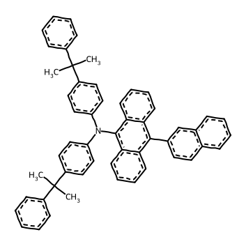 CC(C)(c1ccccc1)c1ccc(N(c2ccc(C(C)(C)c3ccccc3)cc2)c2c3ccccc3c(-c3ccc4ccccc4c3)c3ccccc23)cc1